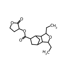 CCC1OC(CC)C2C3CC(CC3C(=O)OC3CCOC3=O)C12